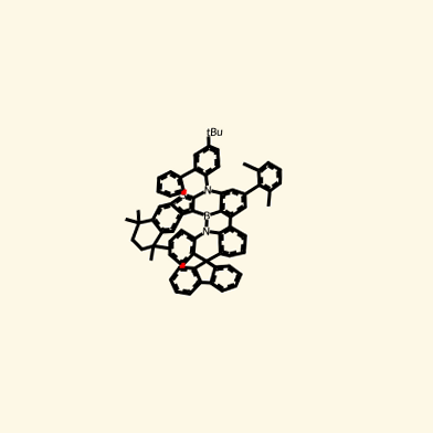 Cc1cccc(C)c1-c1cc2c3c(c1)N(c1ccc(C(C)(C)C)cc1-c1ccccc1)c1sc4cc5c(cc4c1B3N1c3ccccc3C3(c4ccccc4-c4ccccc43)c3cccc-2c31)C(C)(C)CCC5(C)C